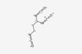 O=C=NCCC(N=C=O)N=C=O